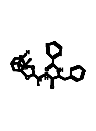 C[C@H](NC(=O)C(Cc1ccccc1)NC(=O)c1cnccn1)B1OC2CC3C[C@@H](C3(C)C)[C@]2(C)O1